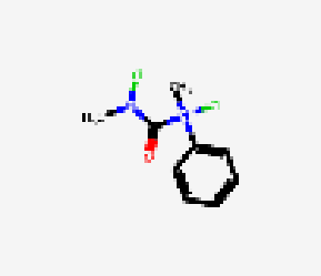 CN(Cl)C(=O)[N+](C)(Cl)c1ccccc1